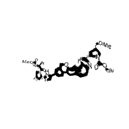 COC[C@H]1C[C@@H](c2nc3ccc4cc5c(cc4c3[nH]2)OCc2cc(-c3cnc([C@@H]4C[C@H](C)CN4C(=O)[C@@H](NC(=O)OC)C(C)C)[nH]3)ccc2-5)N(C(=O)OC(C)(C)C)C1